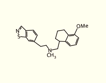 COc1cccc2c1CCCC2CN(C)CCc1ccc2cnsc2c1